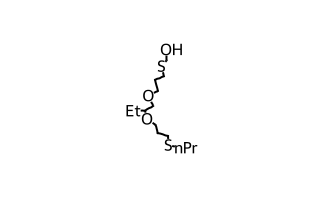 CCCSCCCOC(CC)COCCCSCO